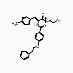 Cc1ccc(/C=C(\NC(=O)c2ccc(OCCc3ccccc3)cc2)C(=O)NCCO)cc1